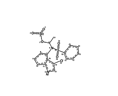 CC(O[SH](=O)=O)N(c1cccc2[nH]cc(Cl)c12)S(=O)(=O)c1ccccc1